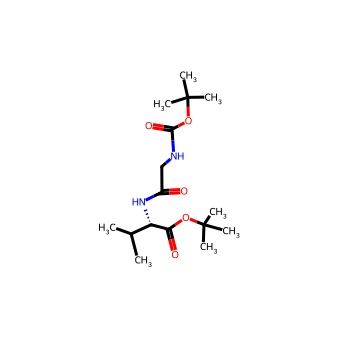 CC(C)[C@H](NC(=O)CNC(=O)OC(C)(C)C)C(=O)OC(C)(C)C